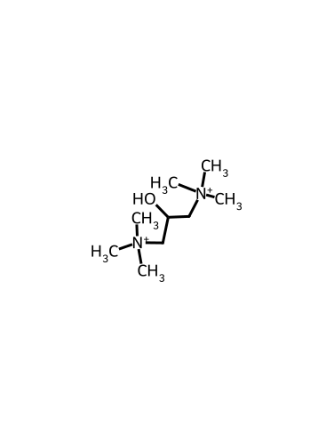 C[N+](C)(C)CC(O)C[N+](C)(C)C